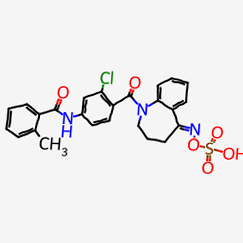 Cc1ccccc1C(=O)Nc1ccc(C(=O)N2CCCC(=NOS(=O)(=O)O)c3ccccc32)c(Cl)c1